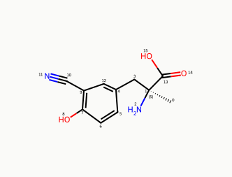 C[C@](N)(Cc1ccc(O)c(C#N)c1)C(=O)O